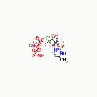 C=C1C=CN([C@@H]2O[C@](F)(COP(=O)(O)OP(=O)(O)OP(=O)(O)O)C(O)[C@@]2(C)O)C(=S)N1